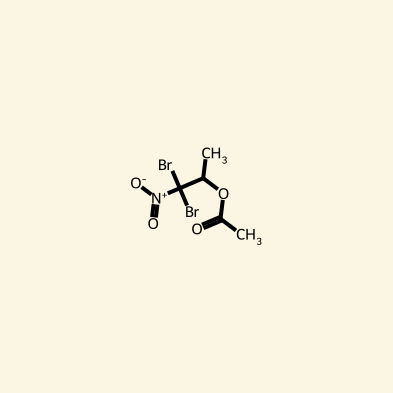 CC(=O)OC(C)C(Br)(Br)[N+](=O)[O-]